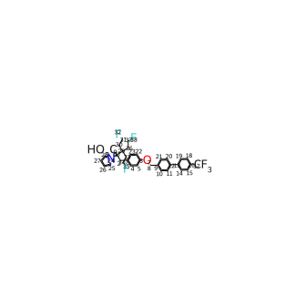 O=C(O)[C@@](Cc1ccc(OCc2ccc(-c3ccc(C(F)(F)F)cc3)cc2)cc1)(n1cccc1)C(CCF)(CCF)CCF